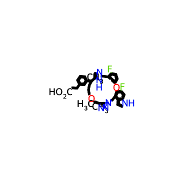 CC1(C)OCCCC(C)(c2cccc(CCC(=O)O)c2)c2cnc([nH]2)-c2cc(ccc2F)Oc2c(F)cc3[nH]ccc3c2Cn2cc1nn2